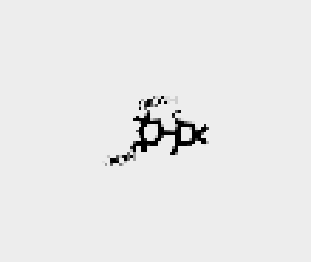 CC1=C(C2CC(C)(C)CC(C)(CN=C=O)C2)C(=O)CC(C)(C)C1.N=C=O